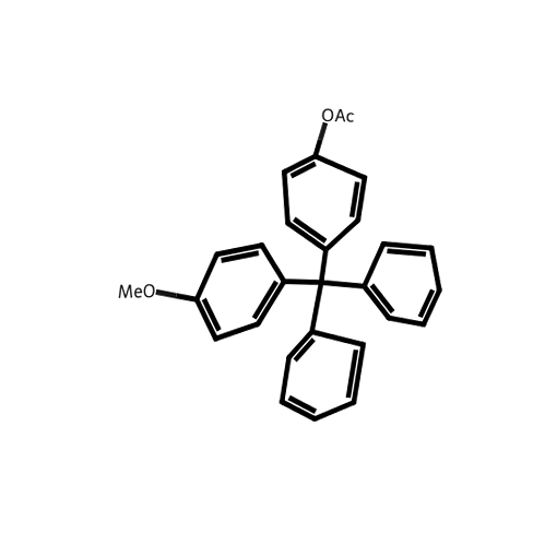 COc1ccc(C(c2ccccc2)(c2ccccc2)c2ccc(OC(C)=O)cc2)cc1